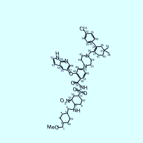 COCC1CCC(CNC2CCC(S(=O)(=O)NC(=O)c3ccc(N4CCN(CC5=C(c6ccc(Cl)cc6)CC(C)(C)CC5)CC4)cc3Oc3cnc4[nH]ccc4c3)CC2[N+](=O)[O-])CC1